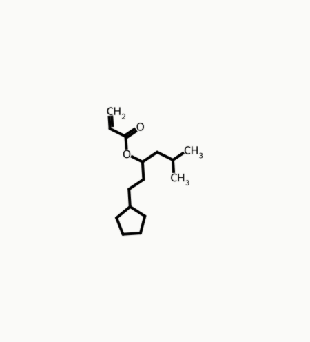 C=CC(=O)OC(CCC1CCCC1)CC(C)C